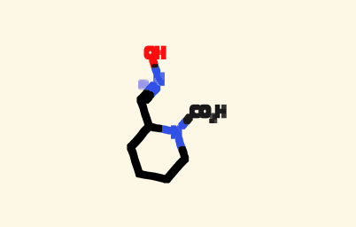 O=C(O)N1CCCCC1/C=N/O